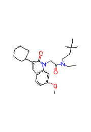 CCN(CCC(C)(C)C)C(=O)Cn1c(=O)c(C2CCCCC2)cc2ccc(OC)cc21